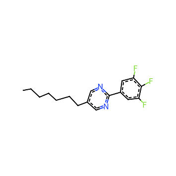 CCCCCCCc1cnc(-c2cc(F)c(F)c(F)c2)nc1